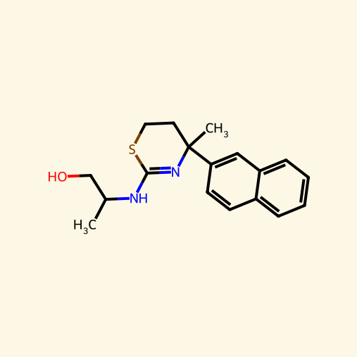 CC(CO)NC1=NC(C)(c2ccc3ccccc3c2)CCS1